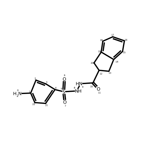 Nc1ccc(S(=O)(=O)NNC(=O)C2Cc3ccccc3C2)cc1